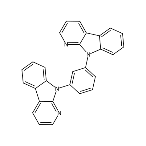 c1cc(-n2c3ccccc3c3cccnc32)cc(-n2c3ccccc3c3cccnc32)c1